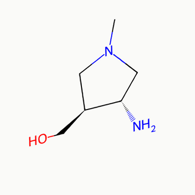 CN1C[C@H](CO)[C@@H](N)C1